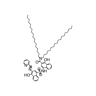 CCCCCCCCCCCCCCCCCCN(CCCCCCCCCCCCCCCCCC)C(=O)c1cc(NS(=O)(=O)c2cc(N=Nc3ccccn3)c(O)c3ccccc23)c2ccccc2c1O